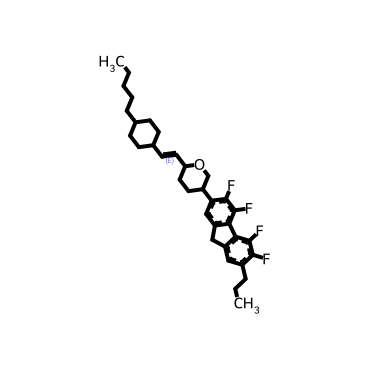 CCCCCC1CCC(/C=C/C2CCC(c3cc4c(c(F)c3F)-c3c(cc(CCC)c(F)c3F)C4)CO2)CC1